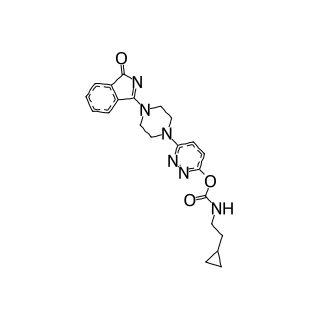 O=C(NCCC1CC1)Oc1ccc(N2CCN(C3=NC(=O)c4ccccc43)CC2)nn1